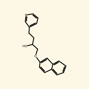 OC(CCc1cccnc1)COc1ccc2ccccc2c1